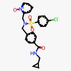 O=C(NCC1CC1)c1ccc(CN(Cc2cccc[n+]2[O-])S(=O)(=O)c2ccc(Cl)cc2)cc1